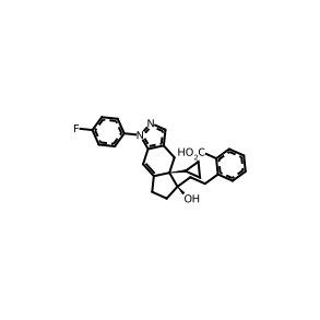 O=C(O)c1ccccc1CC[C@]1(O)CCC2=Cc3c(cnn3-c3ccc(F)cc3)C[C@@]21C1CC1